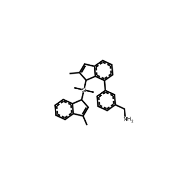 CC1=CC([Si](C)(C)C2C(C)=Cc3cccc(-c4cccc(CN)c4)c32)c2ccccc21